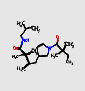 CCC(C)(C)C(=O)N1CCC(CC(C)C(C)(C)C(=O)NCC(C)C)C1